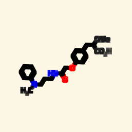 COC(Cc1ccc(OCC(=O)NCCCN(C)c2ccccc2)cc1)C(=O)O